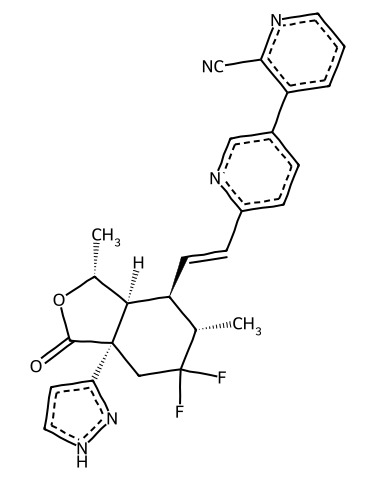 C[C@H]1OC(=O)[C@]2(c3cc[nH]n3)CC(F)(F)[C@@H](C)[C@H](/C=C/c3ccc(-c4cccnc4C#N)cn3)[C@H]12